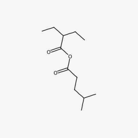 CCC(CC)C(=O)OC(=O)CCC(C)C